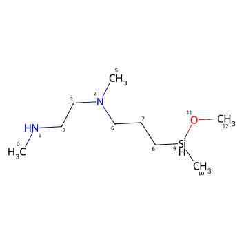 CNCCN(C)CCC[SiH](C)OC